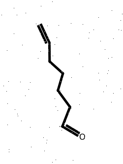 C=CCCCC[C]=O